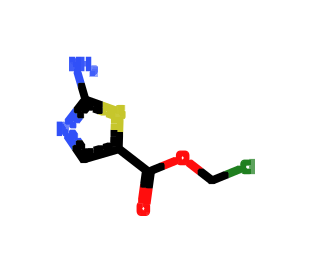 Nc1ncc(C(=O)OCCl)s1